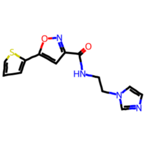 O=C(NCCn1ccnc1)c1cc(-c2cccs2)on1